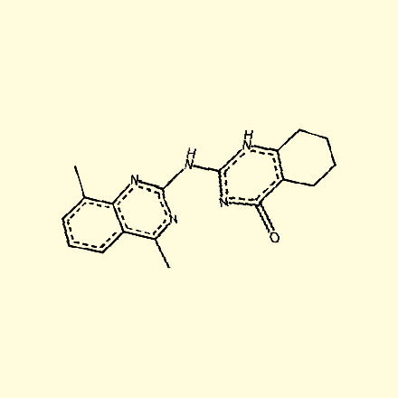 Cc1nc(Nc2nc(=O)c3c([nH]2)CCCC3)nc2c(C)cccc12